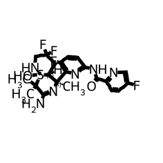 CC1(C)C(N)=N[C@](C)(c2nc(NC(=O)c3ccc(F)cn3)ccc2F)[C@H]2CC(F)(F)CNS21O